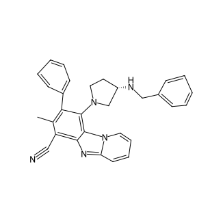 Cc1c(-c2ccccc2)c(N2CC[C@H](NCc3ccccc3)C2)c2c(nc3ccccn32)c1C#N